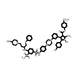 CCn1c(C)c(C(=O)Oc2ccc(C(=O)O)cc2)c(-c2cccc(N3CCN(c4ccc(NS(=O)(=O)c5ccc(NC(CCN6CCC(O)CC6)CSc6ccccc6)c(S(=O)(=O)C(F)(F)F)c5)cc4)CC3)c2)c1-c1ccc(Cl)cc1